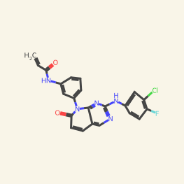 C=CC(=O)Nc1cccc(-n2c(=O)ccc3cnc(Nc4ccc(F)c(Cl)c4)nc32)c1